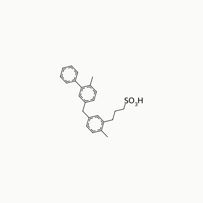 Cc1ccc(Cc2ccc(C)c(-c3ccccc3)c2)cc1CCCS(=O)(=O)O